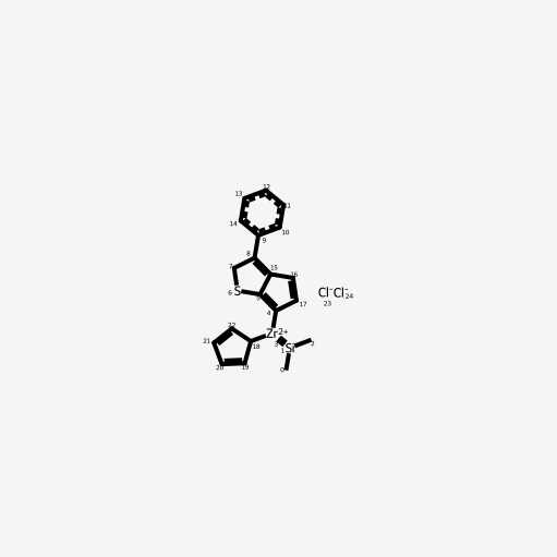 C[Si](C)=[Zr+2]([C]1=C2SCC(c3ccccc3)=C2C=C1)[CH]1C=CC=C1.[Cl-].[Cl-]